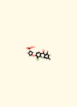 Cc1ccc(C(=O)c2ccc(O[C@H]3CC[C@H](C(=O)O)C3)c(Cl)c2Cl)c(C)c1